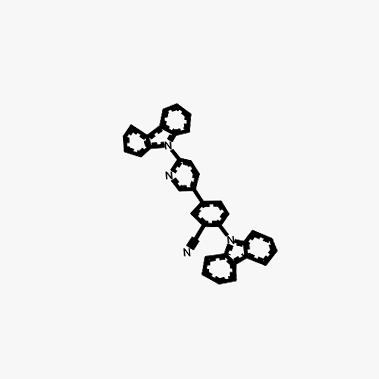 N#Cc1cc(-c2ccc(-n3c4ccccc4c4ccccc43)nc2)ccc1-n1c2ccccc2c2ccccc21